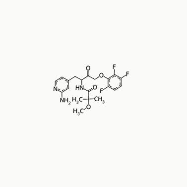 COC(C)(C)C(=O)NC(Cc1ccnc(N)c1)C(=O)COc1c(F)ccc(F)c1F